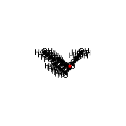 O=P(O)(O)O.O=P(O)(O)O.O=P(O)(O)O.O=P(O)(O)O.O=P(O)(O)O.O=P(O)(O)O.OCC(CO)OCc1ccccc1.OCC(CO)OCc1ccccc1.OCC(CO)OCc1ccccc1.OCC(CO)OCc1ccccc1.OCC(CO)OCc1ccccc1